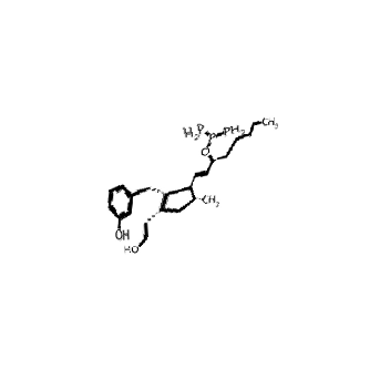 CCCCC[C@@H](/C=C/[C@@H]1[C@@H](Cc2cccc(O)c2)[C@@H](CCO)C[C@H]1C)OP(P)P